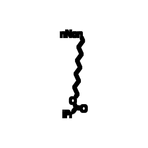 [CH2]C(C)C(=O)OCCCCCCCCCCCCCCCCCC